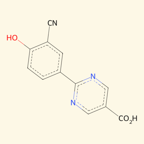 N#Cc1cc(-c2ncc(C(=O)O)cn2)ccc1O